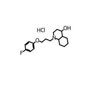 Cl.OC1CCN(CCCOc2ccc(F)cc2)C2CCCCC12